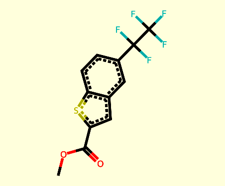 COC(=O)c1cc2cc(C(F)(F)C(F)(F)F)ccc2s1